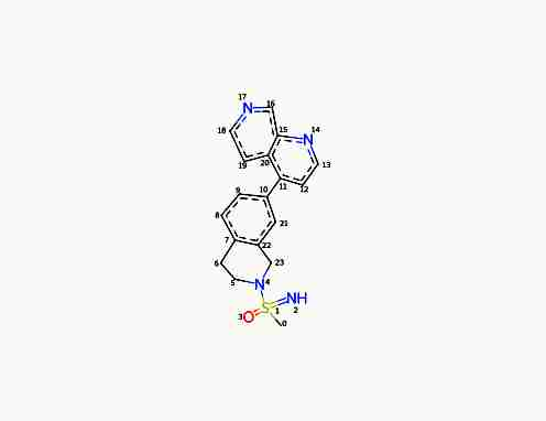 CS(=N)(=O)N1CCc2ccc(-c3ccnc4cnccc34)cc2C1